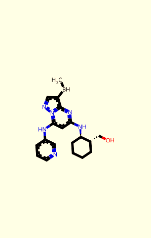 CBc1cnn2c(Nc3cccnc3)cc(N[C@@H]3CCCC[C@H]3CO)nc12